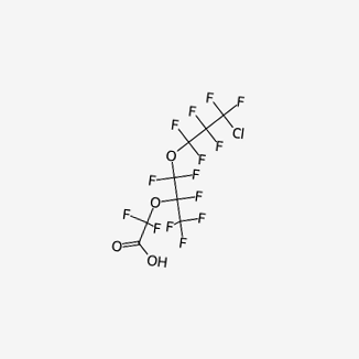 O=C(O)C(F)(F)OC(F)(C(F)(F)F)C(F)(F)OC(F)(F)C(F)(F)C(F)(F)Cl